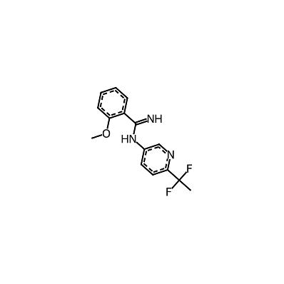 COc1ccccc1C(=N)Nc1ccc(C(C)(F)F)nc1